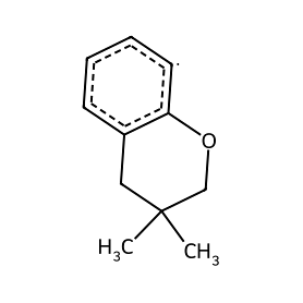 CC1(C)COc2[c]cccc2C1